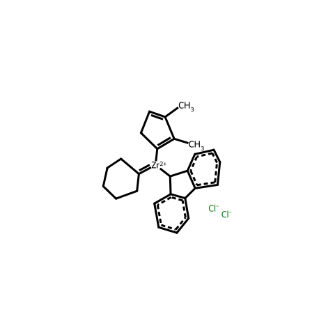 CC1=CC[C]([Zr+2](=[C]2CCCCC2)[CH]2c3ccccc3-c3ccccc32)=C1C.[Cl-].[Cl-]